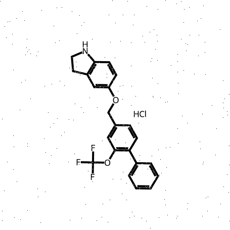 Cl.FC(F)(F)Oc1cc(COc2ccc3c(c2)CCN3)ccc1-c1ccccc1